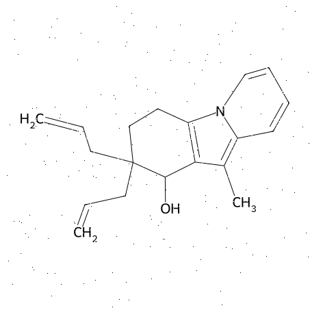 C=CCC1(CC=C)CCc2c(c(C)c3ccccn23)C1O